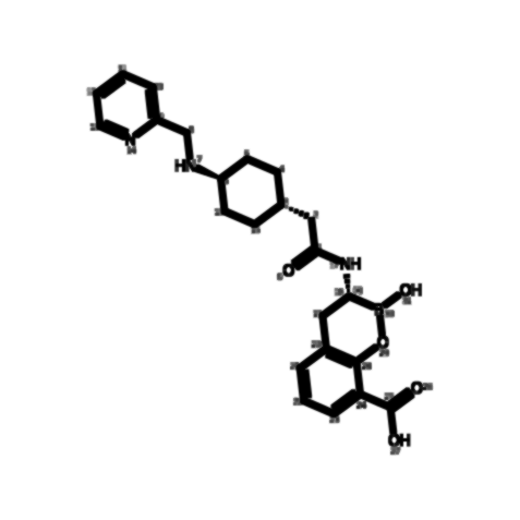 O=C(C[C@H]1CC[C@H](NCc2ccccn2)CC1)N[C@H]1Cc2cccc(C(=O)O)c2OB1O